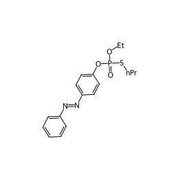 CCCSP(=O)(OCC)Oc1ccc(N=Nc2ccccc2)cc1